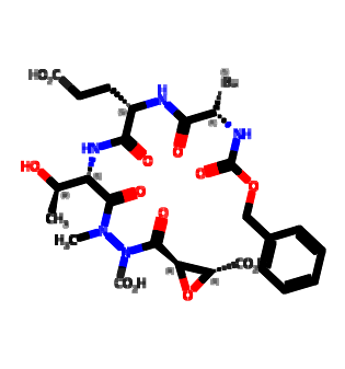 CCOC(=O)[C@@H]1O[C@H]1C(=O)N(C(=O)O)N(C)C(=O)[C@@H](NC(=O)[C@H](CCC(=O)O)NC(=O)[C@@H](NC(=O)OCc1ccccc1)[C@@H](C)CC)[C@@H](C)O